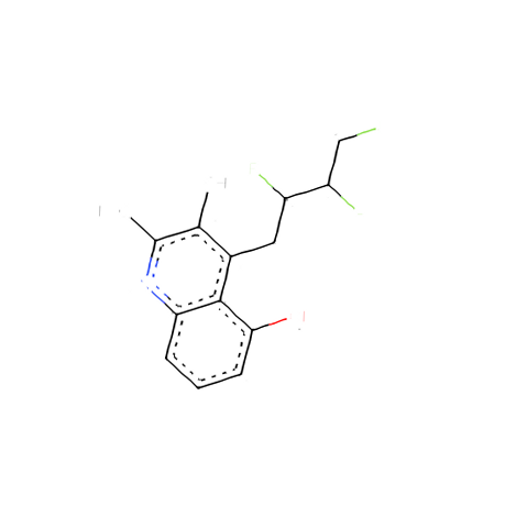 Cc1nc2cccc(O)c2c(CC(F)C(F)CF)c1C